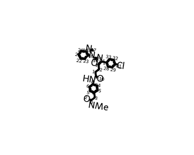 CNC(=O)Cc1ccc(NC(=O)CCc2oc(-n3cnc4ccccc43)nc2-c2ccc(Cl)cc2)cc1